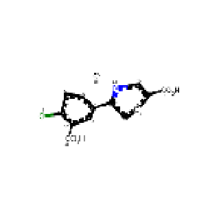 O=C(O)c1ccc(-c2ccc(Cl)c(C(=O)O)c2)nc1.[Cr]